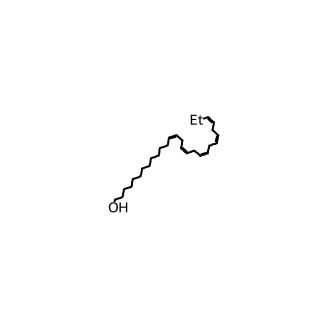 CC/C=C\C/C=C\C/C=C\C/C=C\C/C=C\CCCCCCCCCCCCO